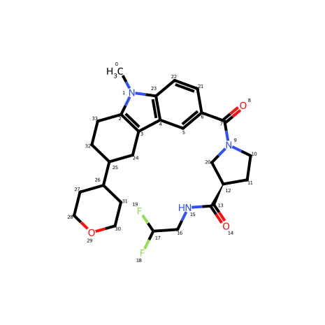 Cn1c2c(c3cc(C(=O)N4CC[C@@H](C(=O)NCC(F)F)C4)ccc31)CC(C1CCOCC1)CC2